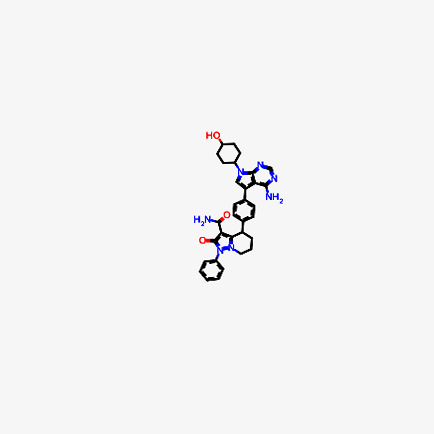 NC(=O)c1c2n(n(-c3ccccc3)c1=O)CCCC2c1ccc(-c2cn(C3CCC(O)CC3)c3ncnc(N)c23)cc1